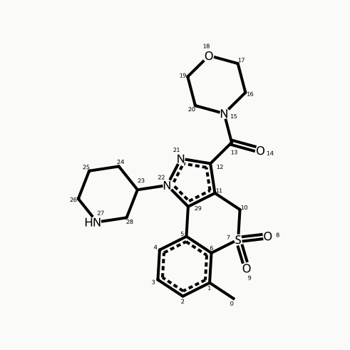 Cc1cccc2c1S(=O)(=O)Cc1c(C(=O)N3CCOCC3)nn(C3CCCNC3)c1-2